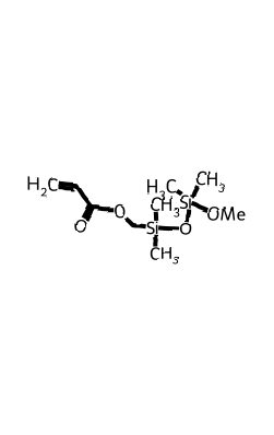 C=CC(=O)OC[Si](C)(C)O[Si](C)(C)OC